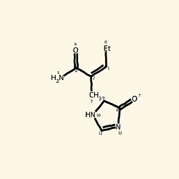 CCC=C(C)C(N)=O.O=C1CNC=N1